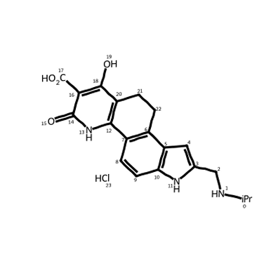 CC(C)NCc1cc2c3c(ccc2[nH]1)-c1[nH]c(=O)c(C(=O)O)c(O)c1CC3.Cl